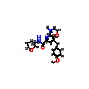 COc1ccc(Cc2cc(C(=O)N[C@@H]3CCCOC3)nc3c2OCCN3C)cc1